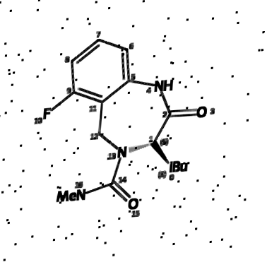 CC[C@H](C)[C@H]1C(=O)Nc2cccc(F)c2CN1C(=O)NC